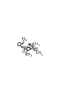 CCCNc1cc(OC)c(C(=O)NCC2CCCN2CC)cc1S(=O)(=O)CC